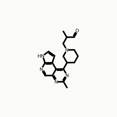 Cc1nc(C2CCCN(CC(C)C=O)C2)c2c(cnc3[nH]ccc32)n1